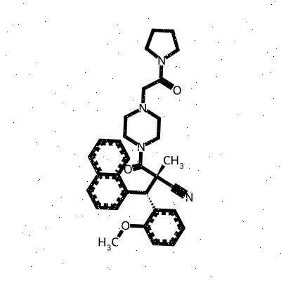 COc1ccccc1[C@H](c1cccc2ccccc12)[C@@](C)(C#N)C(=O)N1CCN(CC(=O)N2CCCC2)CC1